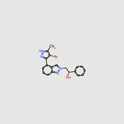 Cc1[nH]nc(-c2cccc3nn(C[C@H](O)c4ccccc4)cc23)c1Br